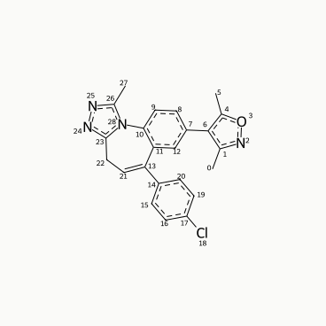 Cc1noc(C)c1-c1ccc2c(c1)C(c1ccc(Cl)cc1)=CCc1nnc(C)n1-2